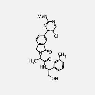 CNc1ncc(Cl)c(-c2ccc3c(c2)C(=O)N(C(C)C(=O)NC(CO)c2cccc(C)c2)C3)n1